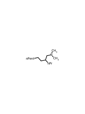 CCCCCCCC(CCC)CN(C)C